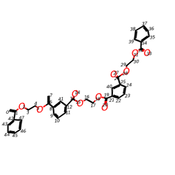 C=C(OCCOC(=C)c1cccc(C(=O)OCCOC(=O)c2cccc(C(=O)OCCOC(=O)c3ccccc3)c2)c1)c1ccccc1